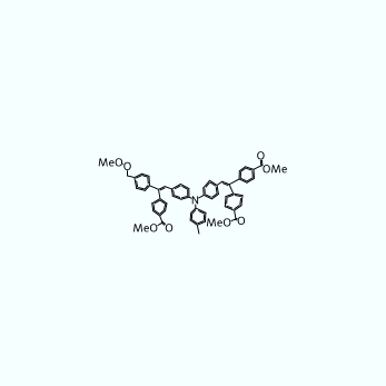 COOCc1ccc(/C(=C/c2ccc(N(c3ccc(C)cc3)c3ccc(C=C(c4ccc(C(=O)OC)cc4)c4ccc(C(=O)OC)cc4)cc3)cc2)c2ccc(C(=O)OC)cc2)cc1